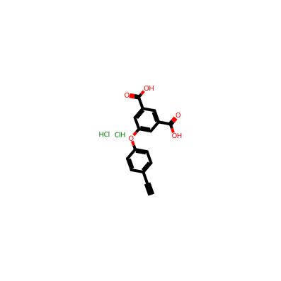 C#Cc1ccc(Oc2cc(C(=O)O)cc(C(=O)O)c2)cc1.Cl.Cl